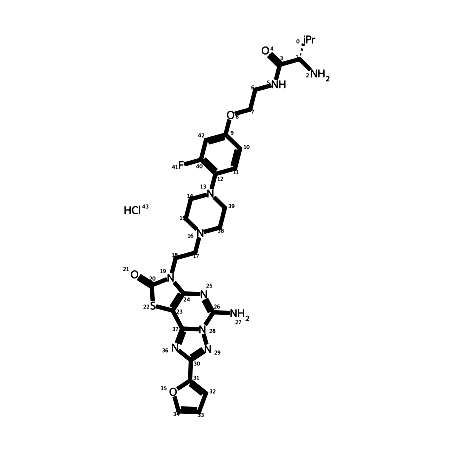 CC(C)[C@H](N)C(=O)NCCOc1ccc(N2CCN(CCn3c(=O)sc4c3nc(N)n3nc(-c5ccco5)nc43)CC2)c(F)c1.Cl